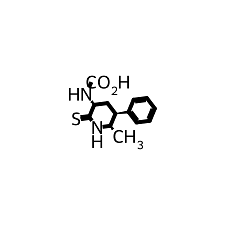 C[C@H]1NC(=S)[C@@H](NC(=O)O)C[C@H]1c1ccccc1